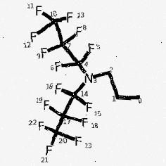 CCCN(C(F)(F)C(F)(F)C(F)(F)F)C(F)(F)C(F)(F)C(F)(F)F